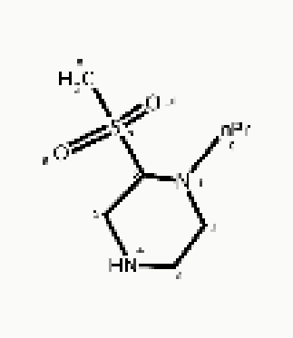 [CH2]CCN1CCNCC1S(C)(=O)=O